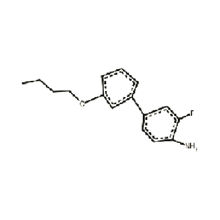 CCCCOc1cccc(-c2ccc(N)c(F)c2)c1